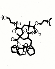 CC1C2CCC(C2)C1CC(CC(C)(CC(CC(C)(C)C(=O)OCCN(C)C)C(=O)NCCO)C(=O)OC1C2CC3C(=O)OC1C3C2)C(N)=O